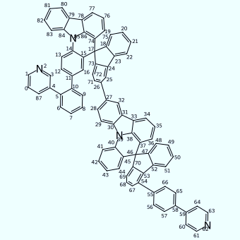 c1cncc(-c2ccccc2-c2ccc3c(c2)C2(c4ccccc4-c4cc(-c5ccc6c(c5)c5cccc7c5n6-c5ccccc5C75c6ccccc6-c6c(-c7ccc(-c8ccncc8)cc7)cccc65)ccc42)c2cccc4c5ccccc5n-3c24)c1